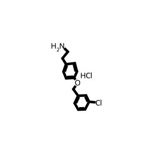 Cl.NCCc1ccc(OCc2cccc(Cl)c2)cc1